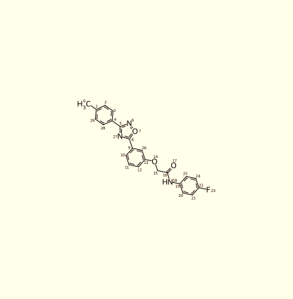 Cc1ccc(-c2noc(-c3cccc(OCC(=O)Nc4ccc(F)cc4)c3)n2)cc1